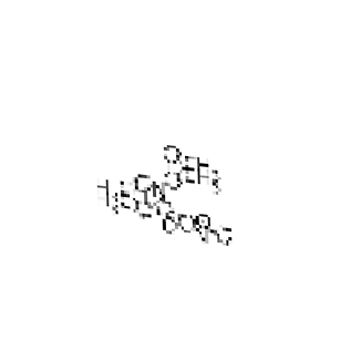 CC1(C)c2ccccc2-c2cc(N(c3ccc4oc5cc6nc(-c7ccccc7)oc6cc5c4c3)c3cccc4c3-c3ccccc3C4(C)C)ccc21